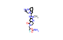 Cn1c(-c2cc3cccc(N)c3n2CC2CC2)nc2cc3c(nc21)CCN(CC(CF)OC(N)=O)C3=O